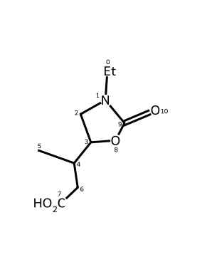 CCN1CC(C(C)CC(=O)O)OC1=O